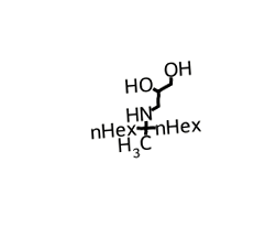 CCCCCCC(C)(CCCCCC)NCC(O)CO